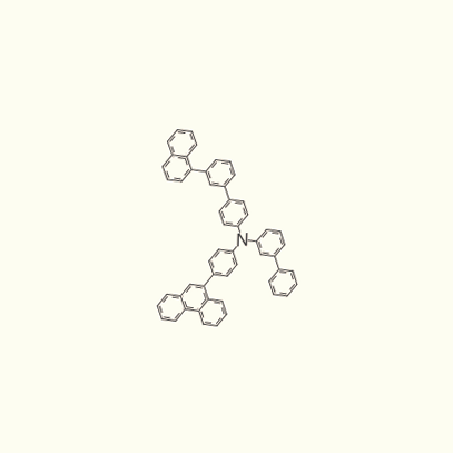 c1ccc(-c2cccc(N(c3ccc(-c4cccc(-c5cccc6ccccc56)c4)cc3)c3ccc(-c4cc5ccccc5c5ccccc45)cc3)c2)cc1